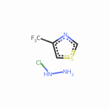 FC(F)(F)c1cscn1.NNCl